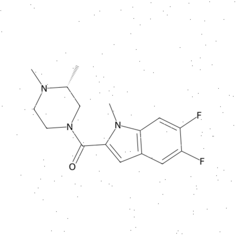 C[C@@H]1CN(C(=O)c2cc3cc(F)c(F)cc3n2C)CCN1C